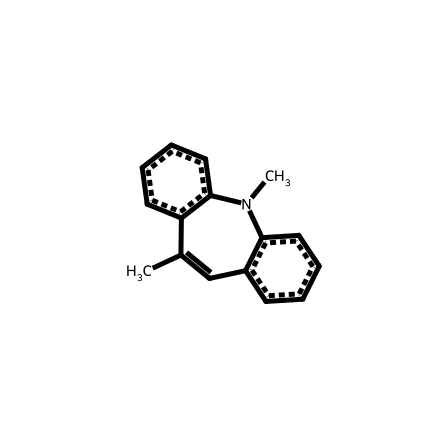 CC1=Cc2ccccc2N(C)c2ccccc21